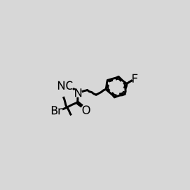 CC(C)(Br)C(=O)N(C#N)CCc1ccc(F)cc1